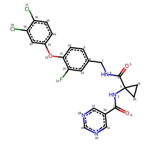 O=C(NC1(C(=O)NCc2ccc(Oc3ccc(Cl)c(Cl)c3)c(F)c2)CC1)c1cncnc1